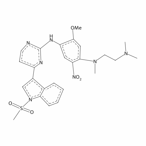 COc1cc(N(C)CCN(C)C)c([N+](=O)[O-])cc1Nc1nccc(-c2cn(S(C)(=O)=O)c3ccccc23)n1